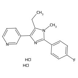 CCc1c(-c2cccnc2)nc(-c2ccc(F)cc2)n1C.Cl.Cl